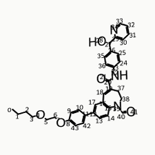 CCCCOCCOc1ccc(-c2ccc3c(c2)C=C(C(=O)Nc2ccc([C@H](O)c4ccccn4)cc2)CCN3C=O)cc1